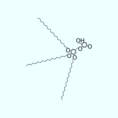 CCCCCCCCCCCCCCCCCCOc1cc(COc2cc(OC)ccc2CO)cc(OCCCCCCCCCCCCCCCCCC)c1OCCCCCCCCCCCCCCCCCC